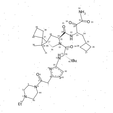 CCN1CCN(C(=O)Cc2nc(N[C@H](C(=O)N3C[C@]4(C[C@H]3C(=O)NC(CC3CCC3)C(=O)C(N)=O)C(C)(C)C43CCC3)C(C)(C)C)cs2)CC1